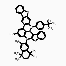 Cc1cc2c3c(c1)N(c1cc4c(cc1C)C(C)(C)CCC4(C)C)c1sc4ccccc4c1B3N(c1ccc(C(C)(C)C)cc1)c1cc3oc4ccccc4c3cc1-2